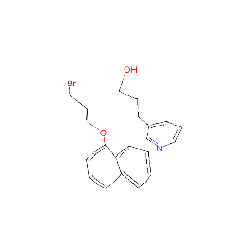 BrCCCOc1cccc2ccccc12.OCCCc1cccnc1